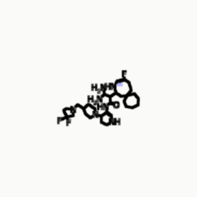 NC(N)C(C(=O)NC1=CNCCC1N1CCC(CN2CCC(F)(F)C2)CC1)C1CC2(CCCCCC2)CC/C(F)=C\N1